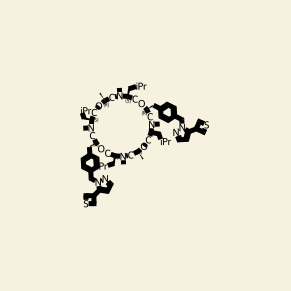 CC(C)CC1CO[C@H](C)CN(C)[C@@H](CC(C)C)CO[C@H](Cc2ccc(Cn3nccc3C3CSC3)cc2)CN(C)[C@@H](CC(C)C)CO[C@H](C)CN(C)[C@@H](CC(C)C)CO[C@H](Cc2ccc(Cn3nccc3C3CSC3)cc2)CN1C